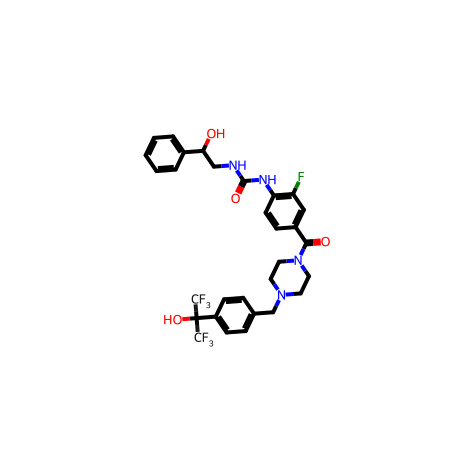 O=C(NCC(O)c1ccccc1)Nc1ccc(C(=O)N2CCN(Cc3ccc(C(O)(C(F)(F)F)C(F)(F)F)cc3)CC2)cc1F